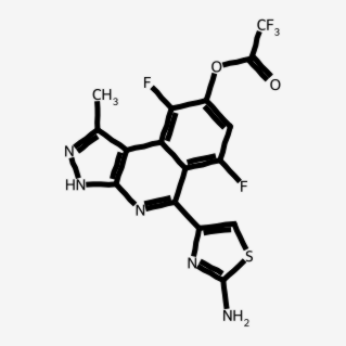 Cc1n[nH]c2nc(-c3csc(N)n3)c3c(F)cc(OC(=O)C(F)(F)F)c(F)c3c12